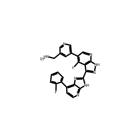 CCNCc1cncc(-c2cnc3[nH]nc(-c4nc5c(-c6ccccc6F)ccnc5[nH]4)c3c2F)c1